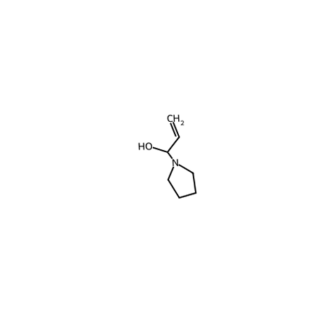 C=CC(O)N1CCCC1